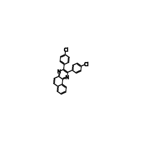 Clc1ccc(-c2nc3ccc4ccccc4c3nc2-c2ccc(Cl)cc2)cc1